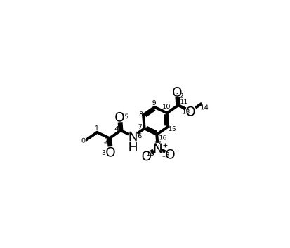 CCC(=O)C(=O)Nc1ccc(C(=O)OC)cc1[N+](=O)[O-]